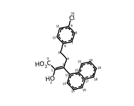 O=C(O)/C(O)=C(\CCc1ccc(Cl)cc1)c1cccc2ccccc12